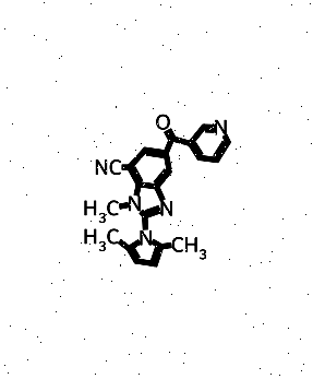 Cc1ccc(C)n1-c1nc2cc(C(=O)c3cccnc3)cc(C#N)c2n1C